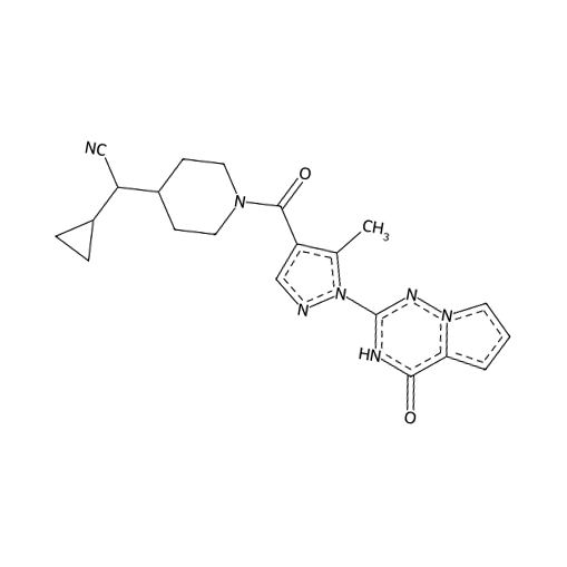 Cc1c(C(=O)N2CCC(C(C#N)C3CC3)CC2)cnn1-c1nn2cccc2c(=O)[nH]1